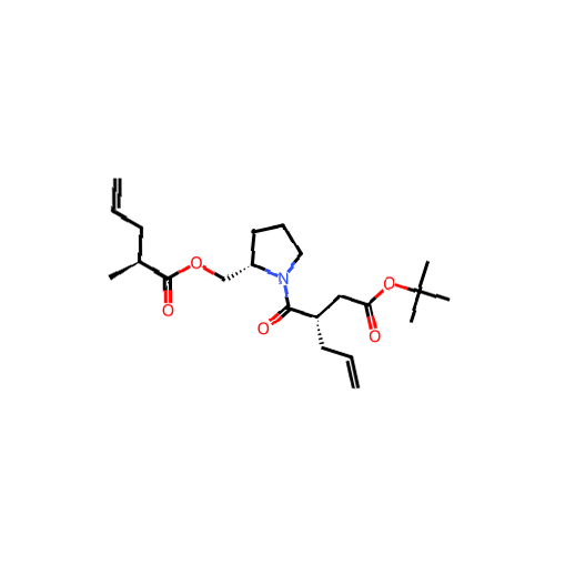 C=CC[C@@H](CC(=O)OC(C)(C)C)C(=O)N1CCC[C@H]1COC(=O)[C@@H](C)CC=C